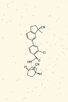 C[C@@]1(C#N)CCc2ccc(-c3ccc(C(=O)N[C@@H]4C[C@@H]5CC[C@H]4N5C#N)c(Cl)c3)cc21